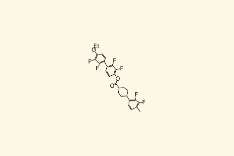 CCOc1ccc(-c2ccc(OC(=O)C3CCC(c4ccc(C)c(F)c4F)CC3)c(F)c2F)c(F)c1F